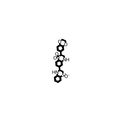 O=S1(=O)c2ccc(C3C[S+]([O-])c4ccccc4N3)cc2NCC1c1ccc2c(c1)OCCO2